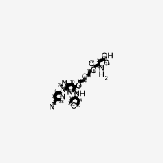 N#Cc1ccc(-n2cnc3cc(OCCOCCOC(=O)[C@@H](N)CC(=O)O)c(NC4CCOCC4)nc32)nc1